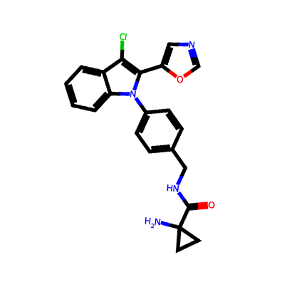 NC1(C(=O)NCc2ccc(-n3c(-c4cnco4)c(Cl)c4ccccc43)cc2)CC1